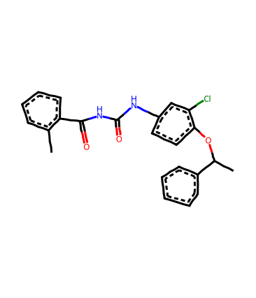 Cc1ccccc1C(=O)NC(=O)Nc1ccc(OC(C)c2ccccc2)c(Cl)c1